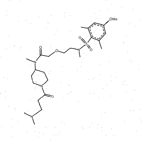 COc1cc(C)c(S(=O)(=O)N(C)CCOCC(=O)N(C)C2CCN(C(=O)CCN(C)C)CC2)c(C)c1